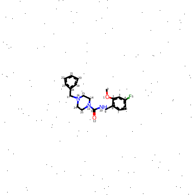 COc1cc(F)ccc1CNC(=O)N1CCN(Cc2ccccc2)CC1